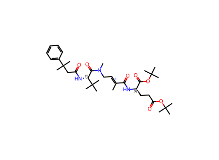 C/C(=C\CN(C)C(=O)[C@@H](NC(=O)CC(C)(C)c1ccccc1)C(C)(C)C)C(=O)N[C@H](CCC(=O)OC(C)(C)C)C(=O)OC(C)(C)C